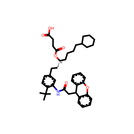 CC(C)(C)c1ccc(CC[C@@H](CCCCC2CCCCC2)OC(=O)CCC(=O)O)cc1NC(=O)CC1c2ccccc2Oc2ccccc21